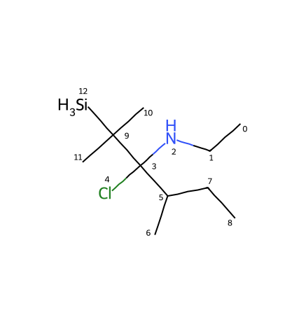 CCNC(Cl)(C(C)CC)C(C)(C)[SiH3]